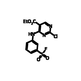 CCOC(=O)c1cnc(Cl)nc1Nc1cccc(S(=O)(=O)F)c1